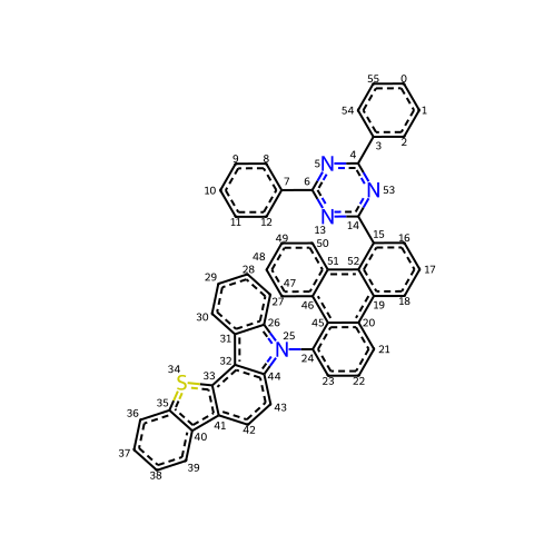 c1ccc(-c2nc(-c3ccccc3)nc(-c3cccc4c5cccc(-n6c7ccccc7c7c8sc9ccccc9c8ccc76)c5c5ccccc5c34)n2)cc1